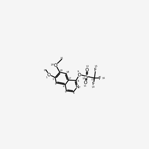 COc1cc2ccnc(OS(=O)(=O)C(F)(F)F)c2cc1OC